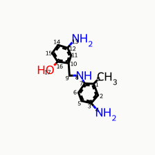 Cc1cc(N)ccc1NCc1cc(N)ccc1O